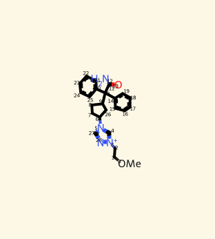 COCC[n+]1cn(C2CCC(C(C(N)=O)(c3ccccc3)c3ccccc3)C2)cn1